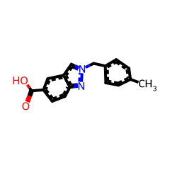 Cc1ccc(Cn2cc3cc(C(=O)O)ccc3n2)cc1